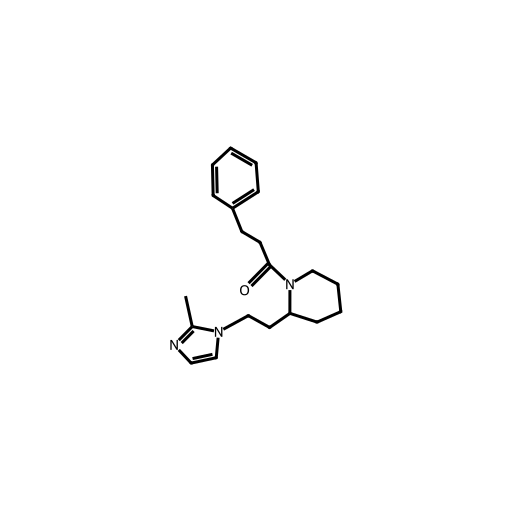 Cc1nccn1CCC1CCCCN1C(=O)CCc1ccccc1